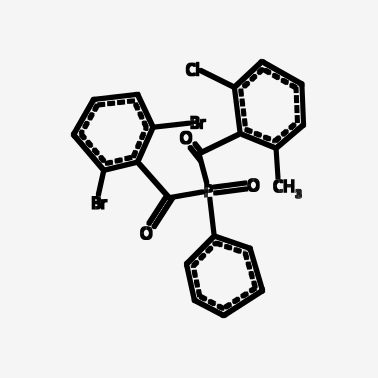 Cc1cccc(Cl)c1C(=O)P(=O)(C(=O)c1c(Br)cccc1Br)c1ccccc1